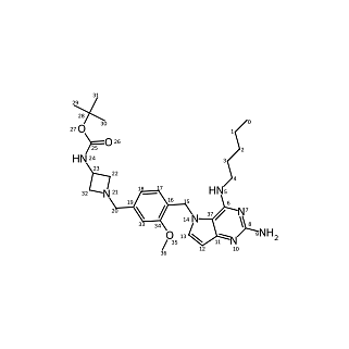 CCCCCNc1nc(N)nc2ccn(Cc3ccc(CN4CC(NC(=O)OC(C)(C)C)C4)cc3OC)c12